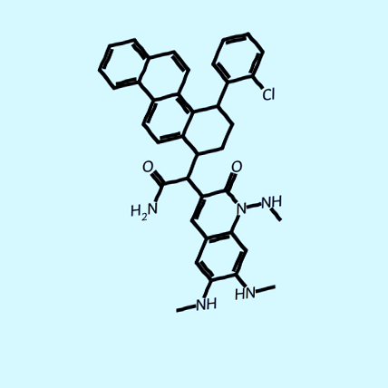 CNc1cc2cc(C(C(N)=O)C3CCC(c4ccccc4Cl)c4c3ccc3c4ccc4ccccc43)c(=O)n(NC)c2cc1NC